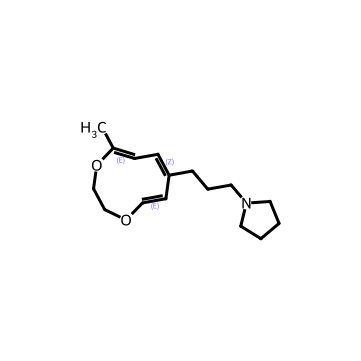 C\C1=C/C=C(CCCN2CCCC2)\C=C\OCCO1